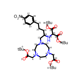 CC(C)(C)OC(=O)CN1CCN(CC(=O)OC(C)(C)C)CCN(CC(CCCc2ccc([N+](=O)[O-])cc2)NC(C(=O)OC(C)(C)C)C(=O)OC(C)(C)C)CC1